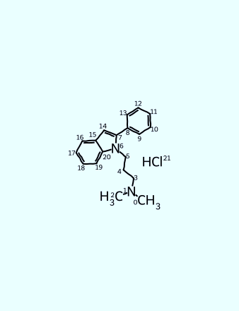 CN(C)CCCn1c(-c2ccccc2)cc2ccccc21.Cl